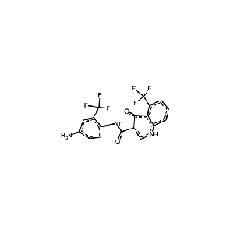 Nc1ccc(NC(=O)c2c[nH]c3cccc(C(F)(F)F)c3c2=O)c(C(F)(F)F)c1